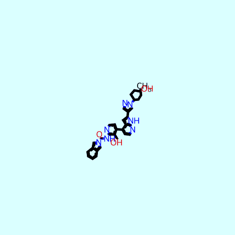 CC1(O)CCC(n2cc(-c3cc4c(-c5ccnc(NC(=O)n6cc7ccccc7c6)c5CO)ccnc4[nH]3)cn2)CC1